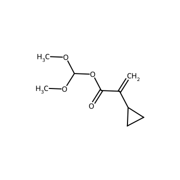 C=C(C(=O)OC(OC)OC)C1CC1